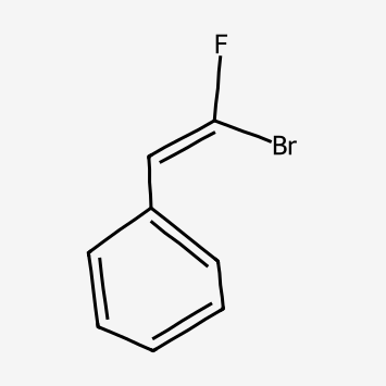 FC(Br)=Cc1ccccc1